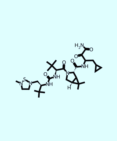 CN1CCN(C[C@@H](NC(=O)N[C@H](C(=O)N2C[C@H]3C([C@H]2C(=O)NC(CC2CC2)C(=O)C(N)=O)C3(C)C)C(C)(C)C)C(C)(C)C)S1